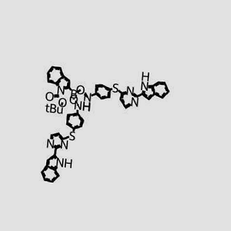 CC(C)(C)OC(=O)n1c(B(ONc2ccc(Sc3ccnc(-c4cc5ccccc5[nH]4)n3)cc2)ONc2ccc(Sc3ccnc(-c4cc5ccccc5[nH]4)n3)cc2)cc2ccccc21